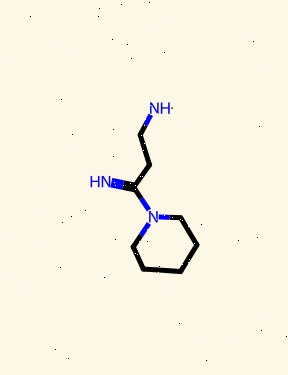 [NH]CCC(=N)N1CCCCC1